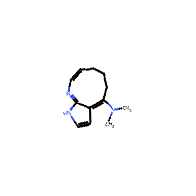 CN(C)\C1=c2/cc[nH]/c2=N/C=C\CCC1